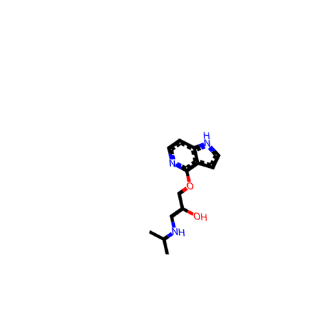 CC(C)NCC(O)COc1nccc2[nH]ccc12